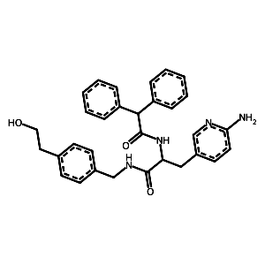 Nc1ccc(CC(NC(=O)C(c2ccccc2)c2ccccc2)C(=O)NCc2ccc(CCO)cc2)cn1